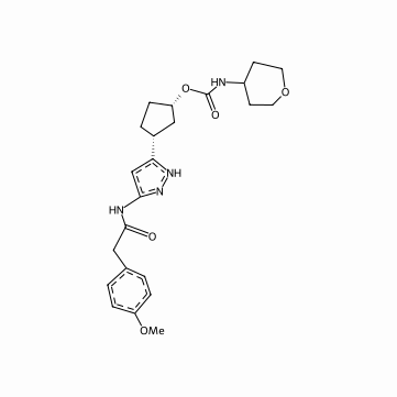 COc1ccc(CC(=O)Nc2cc([C@@H]3CC[C@H](OC(=O)NC4CCOCC4)C3)[nH]n2)cc1